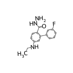 CCNc1ccc(C(=O)NN)c(-c2cccc(F)c2)c1